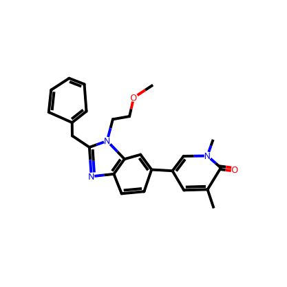 COCCn1c(Cc2ccccc2)nc2ccc(-c3cc(C)c(=O)n(C)c3)cc21